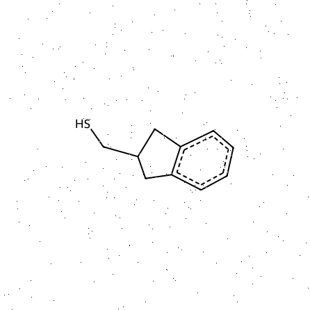 SCC1Cc2ccccc2C1